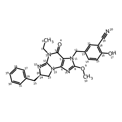 CCN1C(=O)c2c(nc(OC)n2Cc2ccc(O)c(C#N)c2)N2C[C@@H](Cc3ccccc3)N=C12